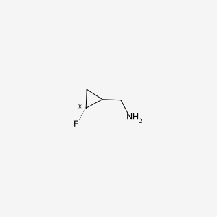 NCC1C[C@H]1F